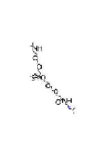 CSS[C@@](C)(CCOCCOCCNC(C)C)OCCOCCOCCC(=O)NC/C=C/C(C)C